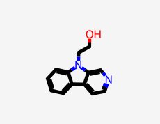 OCCn1c2ccccc2c2ccncc21